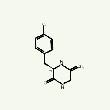 C=C1CNC(=O)[C@@H](Cc2ccc(Cl)cc2)N1